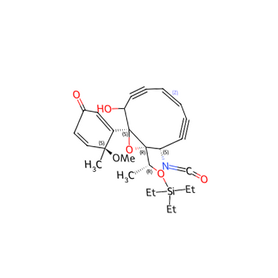 CC[Si](CC)(CC)O[C@H](C)[C@@]12O[C@@]1(C1=CC(=O)C=C[C@]1(C)OC)C(O)C#C/C=C\C#C[C@@H]2N=C=O